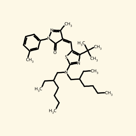 CCCCC(CC)CN(CC(CC)CCCC)c1nc(C(C)(C)C)c(/C=C2\C(=O)N(c3cccc(C)c3)N=C2C)s1